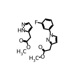 COC(=O)Cc1ccn(-c2cccc(F)c2)n1.COC(=O)Cc1ccn[nH]1